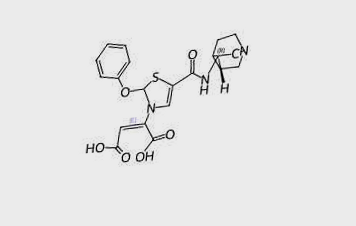 O=C(O)/C=C(\C(=O)O)N1C=C(C(=O)N[C@H]2CN3CCC2CC3)SC1Oc1ccccc1